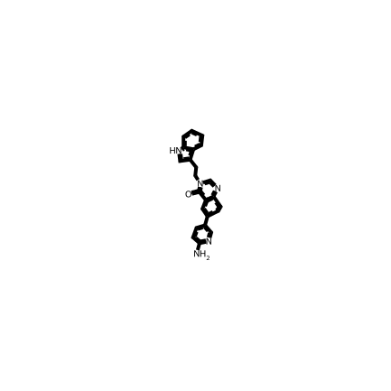 Nc1ccc(-c2ccc3ncn(CCc4c[nH]c5ccccc45)c(=O)c3c2)cn1